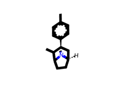 Cc1ccc([C@H]2C[C@H]3CCC(C2C)N3C)cc1